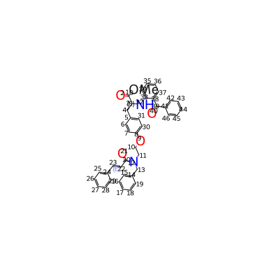 COC(=O)[C@H](Cc1ccc(OCCN(Cc2ccccc2)C(=O)/C=C/c2ccccc2)cc1)Nc1ccccc1C(=O)c1ccccc1